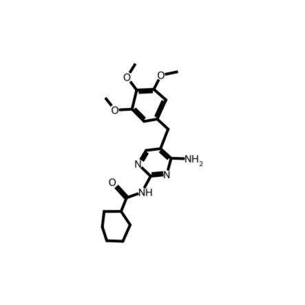 COc1cc(Cc2cnc(NC(=O)C3CCCCC3)nc2N)cc(OC)c1OC